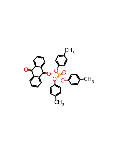 Cc1ccc(OP(=O)(Oc2ccc(C)cc2)Oc2ccc(C)cc2)cc1.O=C1c2ccccc2C(=O)c2ccccc21